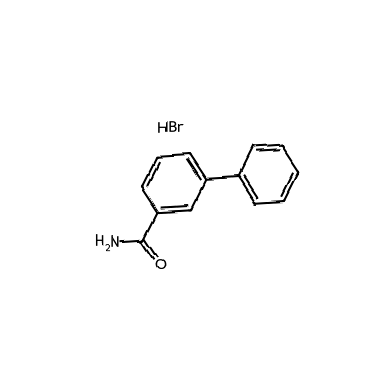 Br.NC(=O)c1cccc(-c2ccccc2)c1